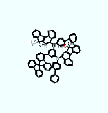 CC1(C)c2ccccc2-c2c1cc(N(c1ccc(-c3ccccc3)cc1)c1cc(-c3cccc4c3-c3ccccc3C43c4ccccc4-c4ccccc43)cc(N(c3ccc(-c4ccccc4)cc3)c3cc4c(c5ccccc35)-c3ccccc3C4(C)C)c1)c1ccccc21